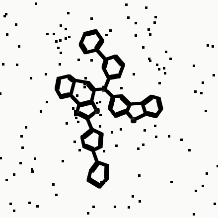 c1ccc(-c2ccc(-c3nc4c(o3)c(N(c3cccc(-c5ccccc5)c3)c3ccc5oc6ccccc6c5c3)cc3ccccc34)cc2)cc1